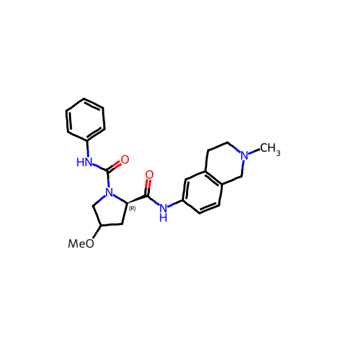 COC1C[C@H](C(=O)Nc2ccc3c(c2)CCN(C)C3)N(C(=O)Nc2ccccc2)C1